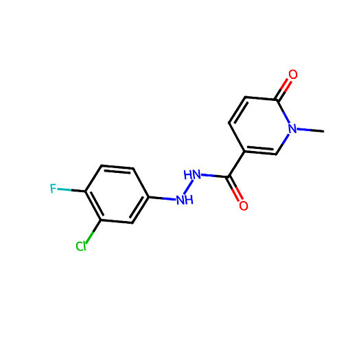 Cn1cc(C(=O)NNc2ccc(F)c(Cl)c2)ccc1=O